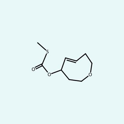 CSC(=O)OC1/C=C/CCOCC1